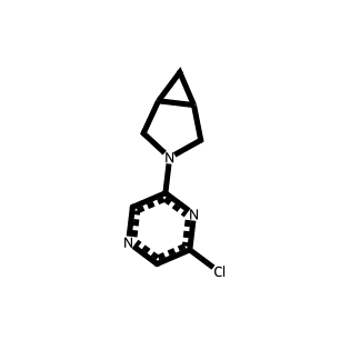 Clc1cncc(N2CC3CC3C2)n1